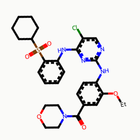 CCOc1cc(C(=O)N2CCOCC2)ccc1Nc1ncc(Cl)c(Nc2ccccc2S(=O)(=O)C2CCCCC2)n1